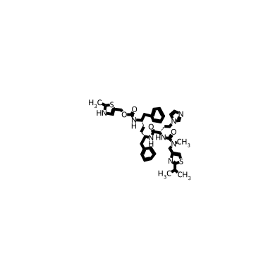 CC1NC=C(COC(=O)N[C@@H](CC[C@@H](Cc2ccccc2)NC(=O)[C@H](CCn2ccnc2)NC(=O)N(C)Cc2csc(C(C)C)n2)Cc2ccccc2)S1